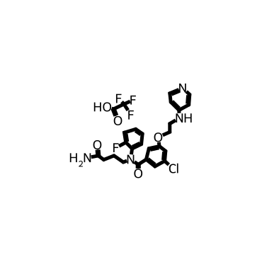 NC(=O)CCCN(C(=O)c1cc(Cl)cc(OCCNc2ccncc2)c1)c1ccccc1F.O=C(O)C(F)(F)F